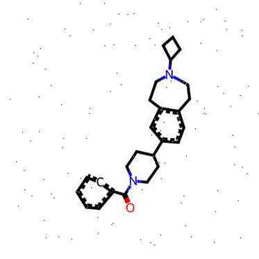 O=C(c1ccccc1)N1CCC(c2ccc3c(c2)CCN(C2CCC2)CC3)CC1